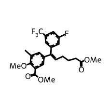 COC(=O)CCC/C=C(\c1cc(F)cc(C(F)(F)F)c1)c1cc(C)c(OC)c(C(=O)OC)c1